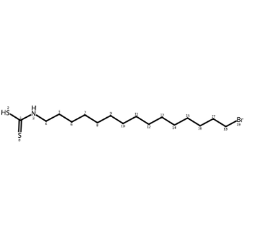 S=C(S)NCCCCCCCCCCCCCCCBr